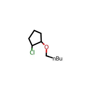 CCCCCOC1CCCC1Cl